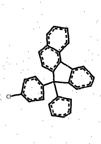 Clc1ccc(C2(c3ccccc3)c3ccccc3-c3c2ccc2ccccc32)cc1